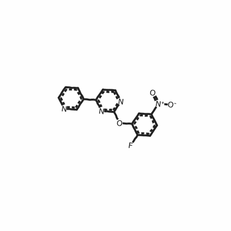 O=[N+]([O-])c1ccc(F)c(Oc2nccc(-c3cccnc3)n2)c1